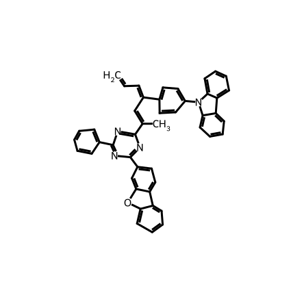 C=C/C=C(\C=C(/C)c1nc(-c2ccccc2)nc(-c2ccc3c(c2)oc2ccccc23)n1)c1ccc(-n2c3ccccc3c3ccccc32)cc1